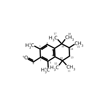 Cc1cc2c(c(C)c1C=O)C(C)(C)CC(C)C2(C)C